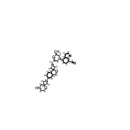 C[C@@H]1CN(c2ccc(C#N)n3nccc23)C[C@H](CN2CC3(C2)OCc2cc(N4CC5(CNCCO5)C4)ccc23)O1